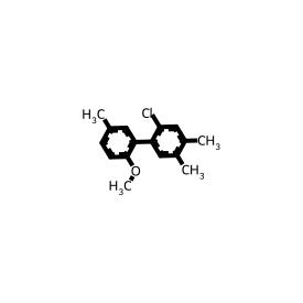 COc1ccc(C)cc1-c1cc(C)c(C)cc1Cl